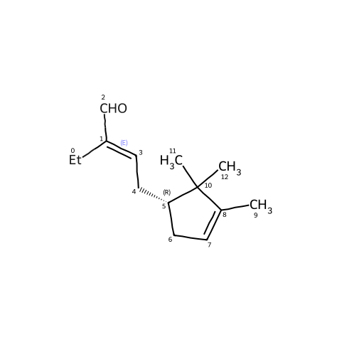 CC/C(C=O)=C\C[C@H]1CC=C(C)C1(C)C